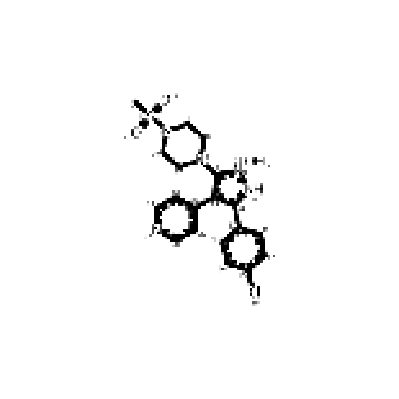 CS(=O)(=O)N1CCN(c2n[nH]c(-c3ccc(Cl)cc3)c2-c2ccncc2)CC1.O